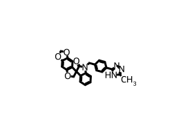 Cc1nnc(-c2ccc(CN3C(=O)C4(COc5cc6c(cc54)OCO6)c4ccccc43)cc2)[nH]1